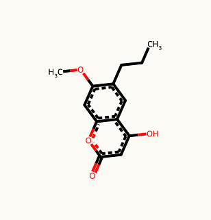 CCCc1cc2c(O)cc(=O)oc2cc1OC